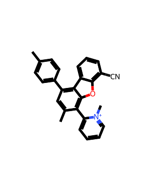 Cc1ccc(-c2cc(C)c(-c3cccc[n+]3C)c3oc4c(C#N)cccc4c23)cc1